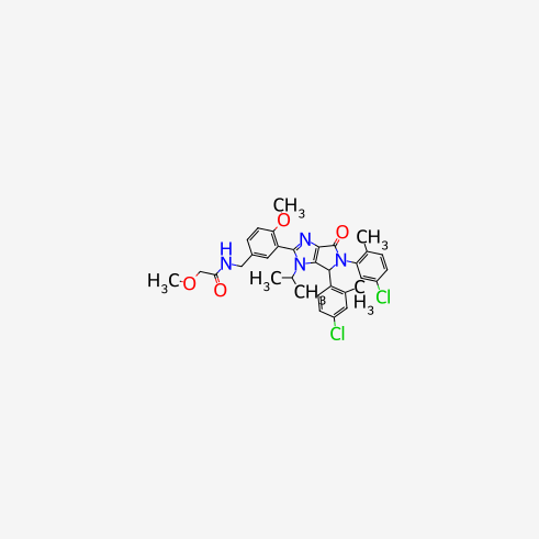 COCC(=O)NCc1ccc(OC)c(-c2nc3c(n2C(C)C)C(c2ccc(Cl)cc2C)N(c2cc(Cl)ccc2C)C3=O)c1